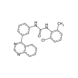 Cc1cccc(Cl)c1NC(=O)Nc1cccc(-c2ncnc3ccccc23)c1